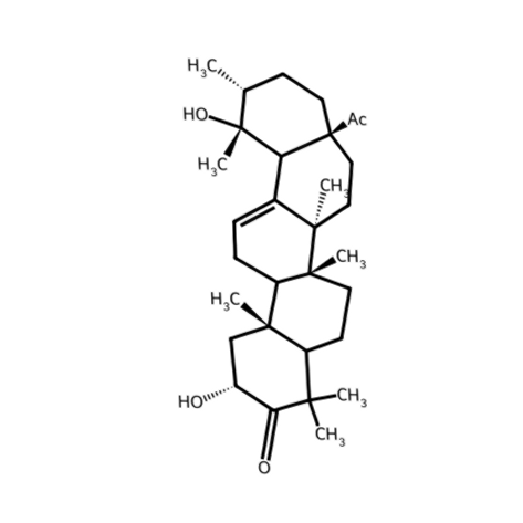 CC(=O)[C@]12CC[C@@H](C)[C@@](C)(O)C1C1=CCC3[C@@]4(C)C[C@@H](O)C(=O)C(C)(C)C4CC[C@@]3(C)[C@]1(C)CC2